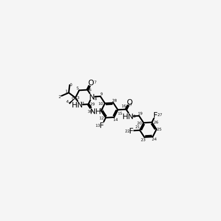 CC(C)[C@]1(C)CC(=O)N(Cc2cc(F)cc(C(=O)NCc3c(F)cccc3F)c2)C(=N)N1